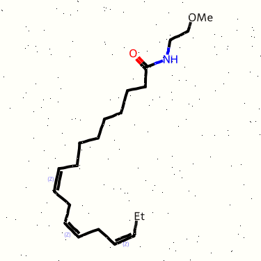 CC/C=C\C/C=C\C/C=C\CCCCCCCC(=O)NCCOC